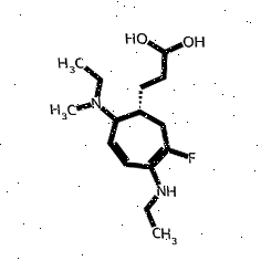 CCNC1=C(F)C[C@@H](CCC(O)O)C(N(C)CC)C=C1